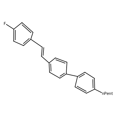 CCCCCc1ccc(-c2ccc(/C=C/c3ccc(F)cc3)cc2)cc1